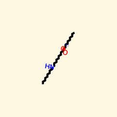 CCCCCC/C=C/COC(=O)CCCCCCCCNCCCCCCCCC